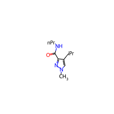 CCCNC(=O)c1nn(C)cc1C(C)C